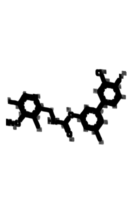 COc1c(C)cnc(CNC(=O)Oc2cc(C)cc(-c3ccc(F)c(Cl)c3)c2)c1C